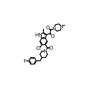 Cc1[nH]c2cc(Cl)c(C(=O)N3CCC(Cc4ccc(F)cc4)CC3)cc2c1C(=O)C(=O)N1CCN(C)CC1